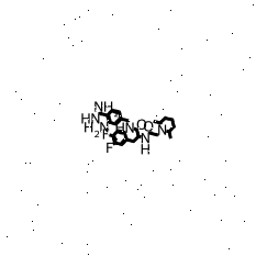 CC1CCCC(C)N1CC(=O)NC(Cc1ccc(F)c(F)c1)C(=O)NCc1ccc(C(=N)N)c(N)c1